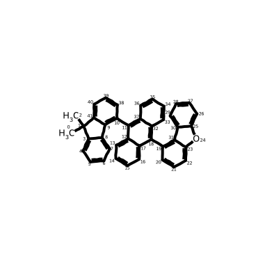 CC1(C)c2ccccc2-c2c(-c3c4ccccc4c(-c4cccc5oc6ccccc6c45)c4ccccc34)cccc21